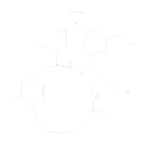 C#CCC1NC(=O)CCCCOc2ccc(cc2F)CC(C(O)CNC2(c3cccc(CC)c3)CC2)NC1=O